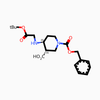 CC(C)(C)OC(=O)CN[C@H]1CCN(C(=O)OCc2ccccc2)C[C@@H]1C(=O)O